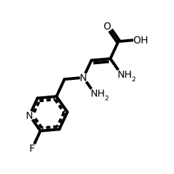 N/C(=C\N(N)Cc1ccc(F)nc1)C(=O)O